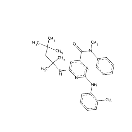 CN(C(=O)c1cc(NC(C)(C)CC(C)(C)C)nc(Nc2ccccc2O)n1)c1ccccc1